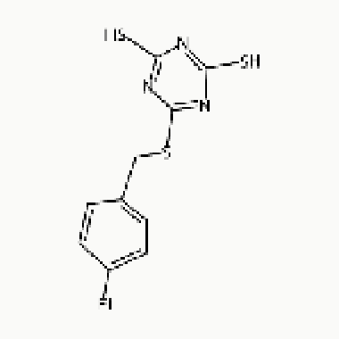 CCc1ccc(CSc2nc(S)nc(S)n2)cc1